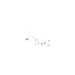 Nc1scnc1C(=O)NNC(=O)c1cc2cc(Cl)ccc2[nH]1